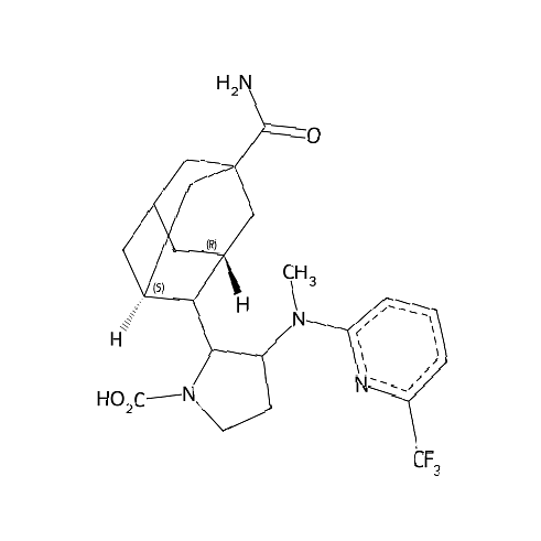 CN(c1cccc(C(F)(F)F)n1)C1CCN(C(=O)O)C1C1[C@@H]2CC3C[C@H]1CC(C(N)=O)(C3)C2